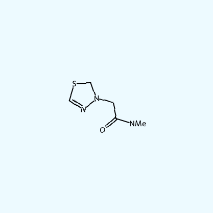 CNC(=O)CN1CSC=N1